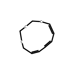 [CH]1\C=C/C=C/C=C\CCCCC1